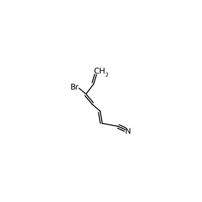 C=C/C(Br)=C\C=C\C#N